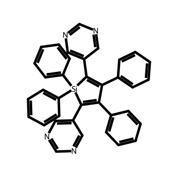 c1ccc(C2=C(c3cncnc3)[Si](c3ccccc3)(c3ccccc3)C(c3cncnc3)=C2c2ccccc2)cc1